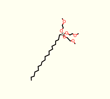 CCCCCCCCCCCCCCCCCC[Si](OCCOC)(OCCOC)OCCOC